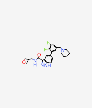 O=C(NCC1COC1)c1n[nH]c2ccc(-c3cc(CN4CCCCC4)cc(F)c3F)cc12